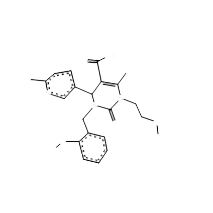 COCCN1C(=O)N(Cc2ccccc2OC)C(c2ccc(Cl)nc2)C(C(=O)O)=C1C